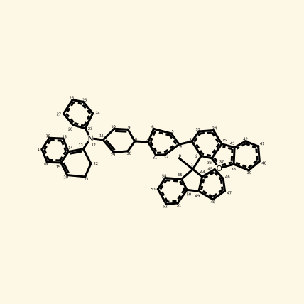 CC1(c2c(-c3ccc(C4C=CC(N(C5=c6ccccc6=CCC5)c5ccccc5)=CC4)cc3)ccc3c2oc2ccccc23)c2ccccc2-c2ccccc21